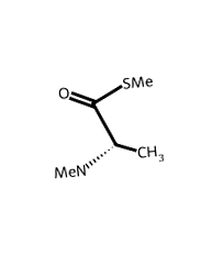 CN[C@@H](C)C(=O)SC